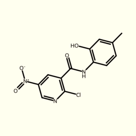 Cc1ccc(NC(=O)c2cc([N+](=O)[O-])cnc2Cl)c(O)c1